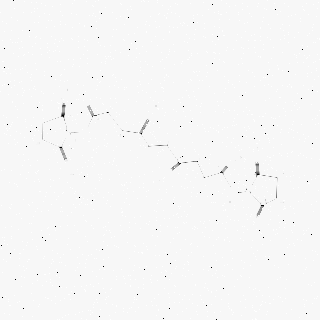 O=C(CCC(=O)CCC(=O)ON1C(=O)CCC1=O)CCC(=O)ON1C(=O)CCC1=O